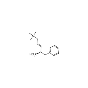 C[Si](C)(C)CC=C[C@@H](Cc1ccccc1)C(=O)O